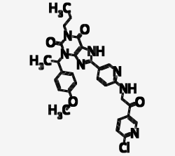 CCCn1c(=O)c2[nH]c(-c3ccc(NCC(=O)c4ccc(Cl)nc4)nc3)nc2n(C(C)c2ccc(OC)cc2)c1=O